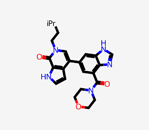 CC(C)CCn1cc(-c2cc(C(=O)N3CCOCC3)c3nc[nH]c3c2)c2cc[nH]c2c1=O